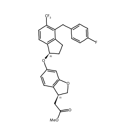 COC(=O)C[C@@H]1COc2cc(O[C@@H]3CCc4c3ccc(C(F)(F)F)c4Cc3ccc(F)cc3)ccc21